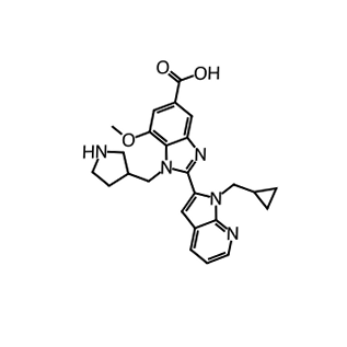 COc1cc(C(=O)O)cc2nc(-c3cc4cccnc4n3CC3CC3)n(CC3CCNC3)c12